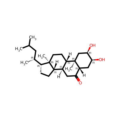 CC(C)C[C@@H](C)[C@H]1CC[C@H]2[C@@H]3CC(=O)[C@H]4C[C@H](O)[C@H](O)C[C@]4(C)[C@H]3CC[C@]12C